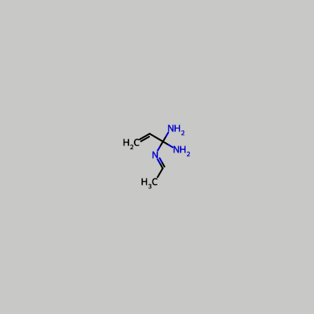 C=CC(N)(N)N=CC